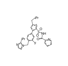 CC(C)Cc1cc(-c2ccc(Cn3ccnc3C(C)C)c(F)c2)c(S(=O)(=O)NC(=O)c2ccccn2)s1